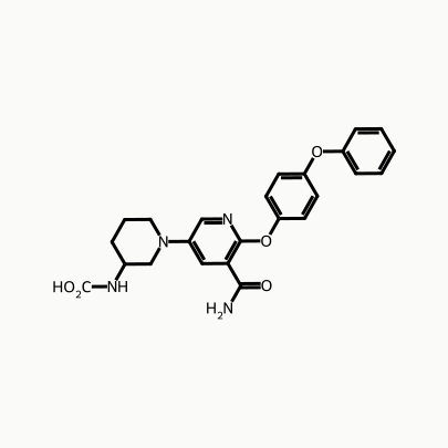 NC(=O)c1cc(N2CCCC(NC(=O)O)C2)cnc1Oc1ccc(Oc2ccccc2)cc1